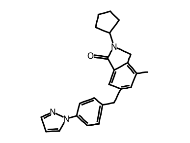 Cc1cc(Cc2ccc(-n3cccn3)cc2)cc2c1CN(C1CCCC1)C2=O